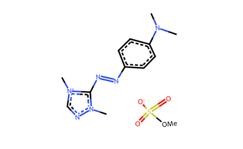 CN(C)c1ccc(/N=N/c2n(C)nc[n+]2C)cc1.COS(=O)(=O)[O-]